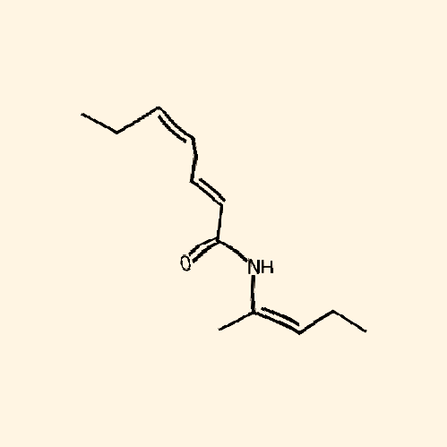 CC/C=C\C=C\C(=O)N/C(C)=C\CC